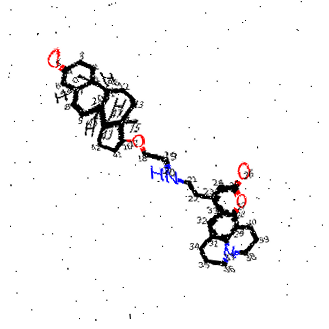 C[C@]12CCC(=O)C[C@@H]1CC[C@@H]1[C@@H]2CC[C@]2(C)[C@@H](OCCNCCc3cc(=O)oc4c5c6c(cc34)CCCN6CCC5)CC[C@@H]12